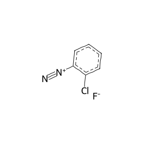 N#[N+]c1ccccc1Cl.[F-]